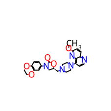 COc1ccc2nccc(N3CCN(C[C@H]4CN(c5ccc6c(c5)OCCO6)C(=O)O4)CC3)c2n1